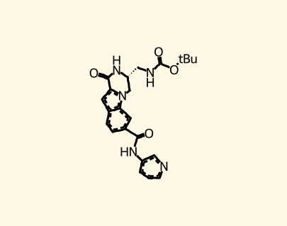 CC(C)(C)OC(=O)NC[C@@H]1Cn2c(cc3ccc(C(=O)Nc4cccnc4)cc32)C(=O)N1